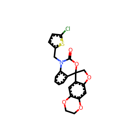 O=C1OC2(COc3cc4c(cc32)OCCO4)c2ccccc2N1Cc1ccc(Cl)s1